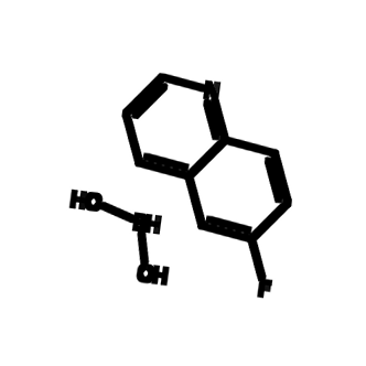 Fc1ccc2ncccc2c1.OBO